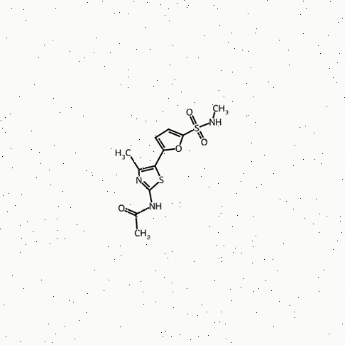 CNS(=O)(=O)c1ccc(-c2sc(NC(C)=O)nc2C)o1